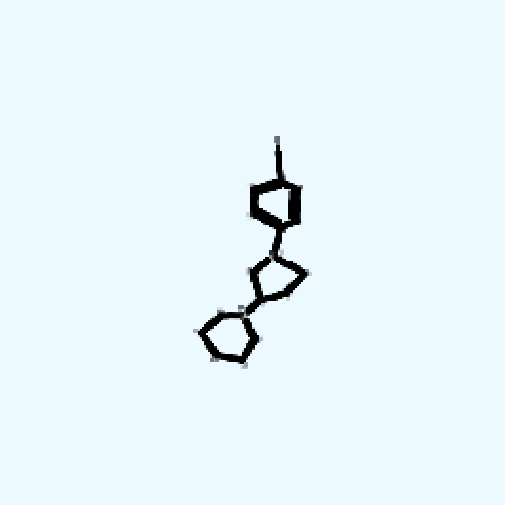 Ic1ccc(N2CCC(N3CCCCC3)C2)cc1